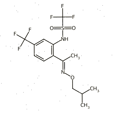 C/C(=N\OCC(C)C)c1ccc(C(F)(F)F)cc1NS(=O)(=O)C(F)(F)F